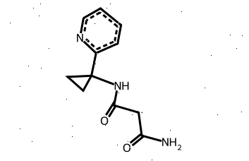 NC(=O)[CH]C(=O)NC1(c2ccccn2)CC1